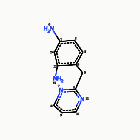 Nc1ccc(Cc2ncccn2)c(N)c1